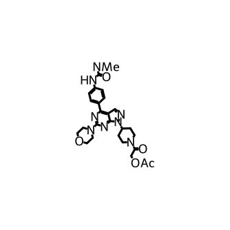 CNC(=O)Nc1ccc(-c2nc(N3CCOCC3)nc3c2cnn3C2CCN(C(=O)COC(C)=O)CC2)cc1